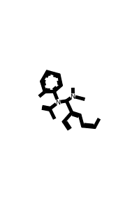 C=C/C(=C\C=C/C)C(N(C)C)N(C(=C)C)c1ccccc1C